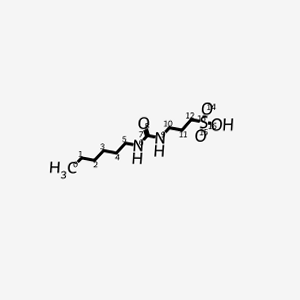 CCCCCCNC(=O)NCCCS(=O)(=O)O